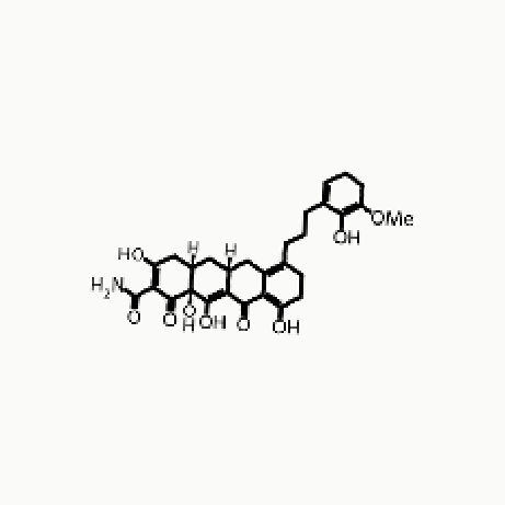 COC1=C(O)C(CCCC2=C3C[C@H]4C[C@H]5CC(O)=C(C(N)=O)C(=O)[C@@]5(O)C(O)=C4C(=O)C3=C(O)CC2)=CCC1